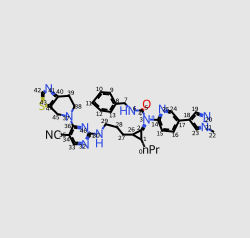 CCCC1/C(=[N+](/C(=O)NCc2ccccc2)c2ccc(-c3cnn(C)c3)cn2)C1CCCNc1ncc(C#N)c(N2CCc3ncsc3C2)n1